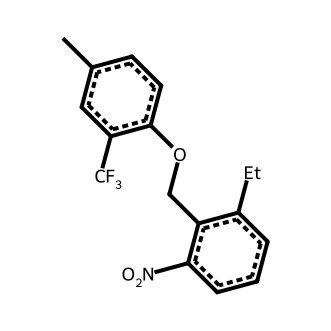 CCc1cccc([N+](=O)[O-])c1COc1ccc(C)cc1C(F)(F)F